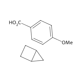 C1CC2CC12.COc1ccc(C(=O)O)cc1